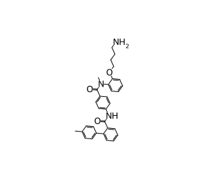 Cc1ccc(-c2ccccc2C(=O)Nc2ccc(C(=O)N(C)c3ccccc3OCCCCN)cc2)cc1